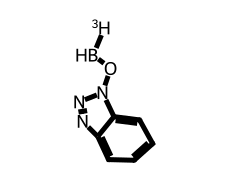 [3H]BOn1nnc2ccccc21